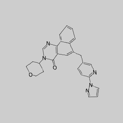 O=c1c2cc(Cc3ccc(-n4cccn4)nc3)c3ccccc3c2ncn1C1CCOCC1